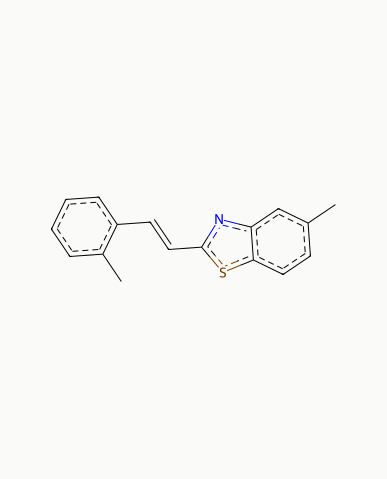 Cc1ccc2sc(C=Cc3ccccc3C)nc2c1